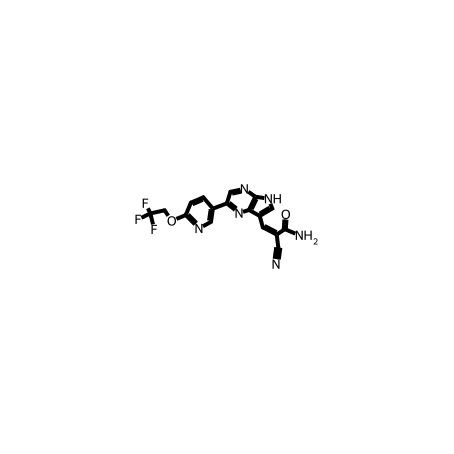 N#CC(=Cc1c[nH]c2ncc(-c3ccc(OCC(F)(F)F)nc3)nc12)C(N)=O